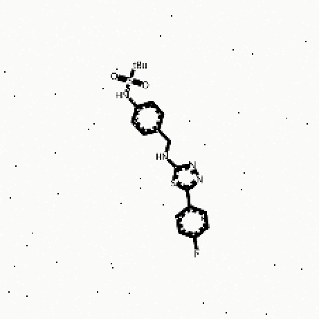 CC(C)(C)S(=O)(=O)Nc1ccc(CNc2nnc(-c3ccc(F)cc3)s2)cc1